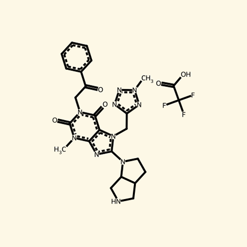 Cn1nnc(Cn2c(N3CCC4CNCC43)nc3c2c(=O)n(CC(=O)c2ccccc2)c(=O)n3C)n1.O=C(O)C(F)(F)F